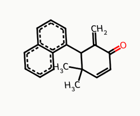 C=C1C(=O)C=CC(C)(C)C1c1cccc2ccccc12